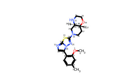 COc1cc(C)ccc1-c1cnc2sc(N3CC[C@H]4OCCN[C@@H]4C3)nn12